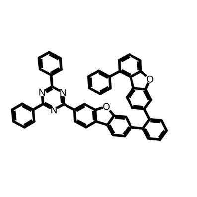 c1ccc(-c2nc(-c3ccccc3)nc(-c3ccc4c(c3)oc3cc(-c5ccccc5-c5ccc6c(c5)oc5cccc(-c7ccccc7)c56)ccc34)n2)cc1